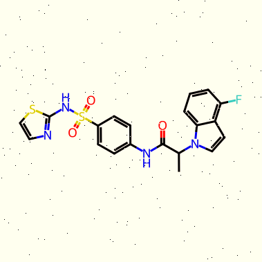 CC(C(=O)Nc1ccc(S(=O)(=O)Nc2nccs2)cc1)n1ccc2c(F)cccc21